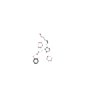 O=C(O)CCC/C=C\C[C@@H]1[C@@H](CC[C@@H](OC2CCCCO2)C2OCc3ccccc3O2)[C@H](OC2CCCCO2)C[C@@H]1O